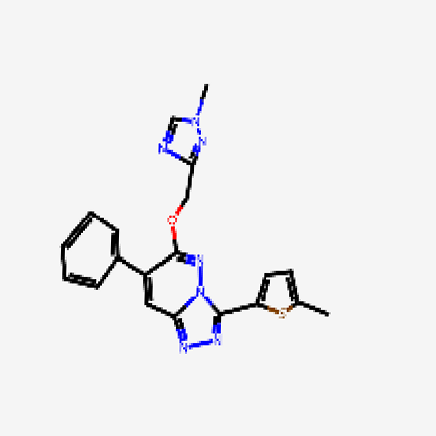 Cc1ccc(-c2nnc3cc(-c4ccccc4)c(OCc4ncn(C)n4)nn23)s1